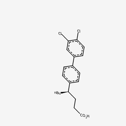 CCCC[C@H](CCC(=O)O)c1ccc(-c2ccc(Cl)c(Cl)c2)cc1